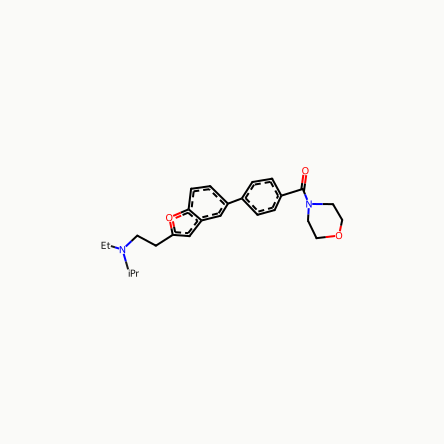 CCN(CCc1cc2cc(-c3ccc(C(=O)N4CCOCC4)cc3)ccc2o1)C(C)C